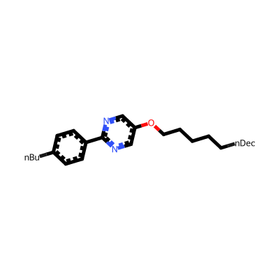 CCCCCCCCCCCCCCCOc1cnc(-c2ccc(CCCC)cc2)nc1